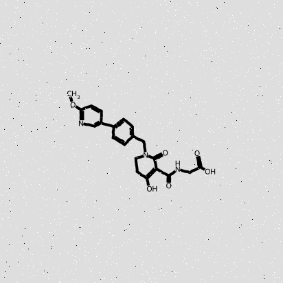 COc1ccc(-c2ccc(CN3CCC(O)=C(C(=O)NCC(=O)O)C3=O)cc2)cn1